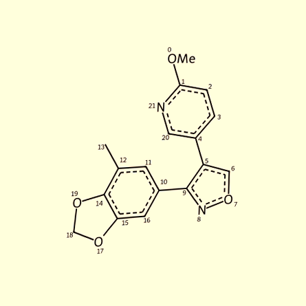 COc1ccc(-c2conc2-c2cc(C)c3c(c2)OCO3)cn1